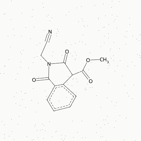 COC(=O)C1C(=O)N(CC#N)C(=O)c2ccccc21